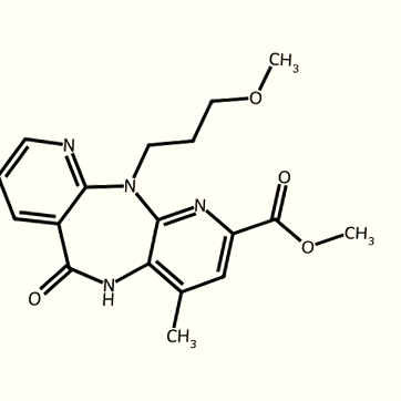 COCCCN1c2ncccc2C(=O)Nc2c(C)cc(C(=O)OC)nc21